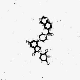 O=C1CCC(N2Cc3c(cc(F)cc3N3CCN(C(=O)c4ccc5ncncc5c4)CC3)C2=O)C(=O)N1